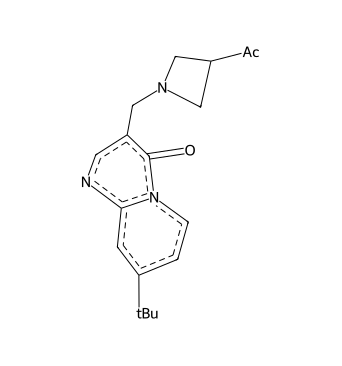 CC(=O)C1CN(Cc2cnc3cc(C(C)(C)C)ccn3c2=O)C1